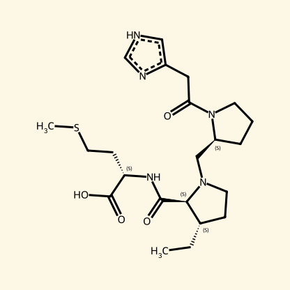 CC[C@H]1CCN(C[C@@H]2CCCN2C(=O)Cc2c[nH]cn2)[C@@H]1C(=O)N[C@@H](CCSC)C(=O)O